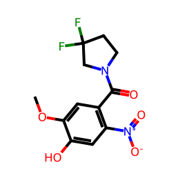 COc1cc(C(=O)N2CCC(F)(F)C2)c([N+](=O)[O-])cc1O